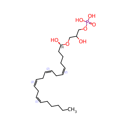 CCCCC/C=C\C/C=C\C/C=C\C/C=C\CCC[C@@H](O)OCC(O)COP(=O)(O)O